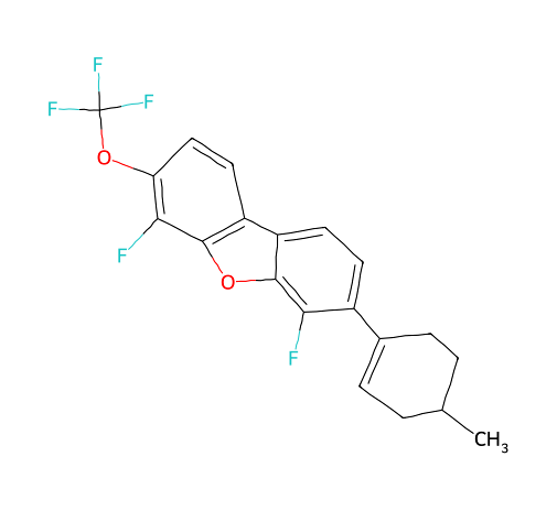 CC1CC=C(c2ccc3c(oc4c(F)c(OC(F)(F)F)ccc43)c2F)CC1